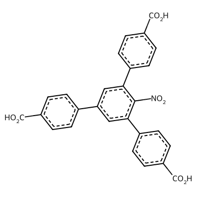 O=C(O)c1ccc(-c2cc(-c3ccc(C(=O)O)cc3)c([N+](=O)[O-])c(-c3ccc(C(=O)O)cc3)c2)cc1